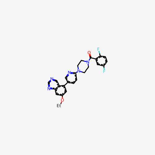 CCOc1cc(-c2ccc(N3CCN(C(=O)c4cc(F)ccc4F)CC3)nc2)c2cncnc2c1